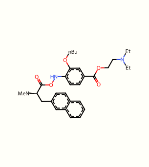 CCCCOc1cc(C(=O)OCCN(CC)CC)ccc1NOC(=O)[C@@H](Cc1ccc2ccccc2c1)NC